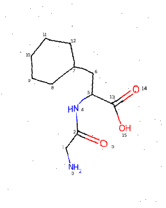 NCC(=O)NC(CC1CCCCC1)C(=O)O